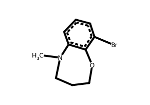 CN1CCCOc2c(Br)cccc21